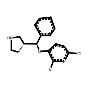 Clc1ccc(O[C@H](c2ccccc2)[C@@H]2CCNC2)c(Cl)n1